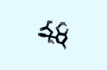 COc1c(F)cc(F)cc1C(C)(C#N)CC(=O)O